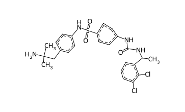 CC(NC(=O)Nc1ccc(S(=O)(=O)Nc2ccc(CC(C)(C)N)cc2)cc1)c1cccc(Cl)c1Cl